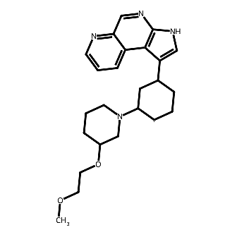 COCCOC1CCCN(C2[CH]CCC(c3c[nH]c4ncc5ncccc5c34)C2)C1